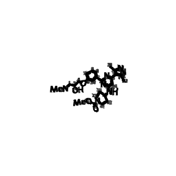 CNC[C@@H](O)COc1cccc(-c2nc(NC3CCN(C(=O)OC)CC3)cc(-c3c(C)nnn3C)n2)c1